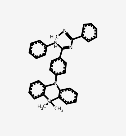 C/N=C(\N=C(/Nc1ccccc1)c1ccc(N2c3ccccc3[Si](C)(C)c3ccccc32)cc1)c1ccccc1